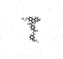 Cc1ccc(-c2ccc(F)cc2)c(C(=O)Nc2ccc(NCCc3cccc(N)n3)cc2)c1